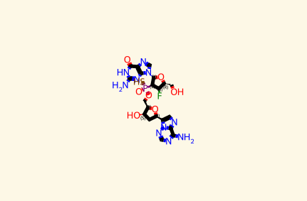 Nc1nc2c(ncn2[C@@H]2O[C@H](CO)[C@@H](F)[C@H]2P(=O)(S)OC[C@H]2O[C@@H](c3cnc4c(N)ncnn34)C[C@@H]2O)c(=O)[nH]1